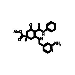 COC(=O)C1(C)CC(=O)C(C(=S)Nc2ccccc2)=C(NCc2ccnc(N)c2)C1